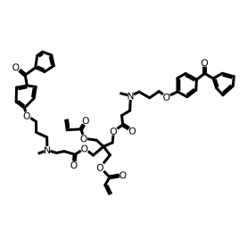 C=CC(=O)OCC(COC(=O)C=C)(COC(=O)CCN(C)CCCOc1ccc(C(=O)c2ccccc2)cc1)COC(=O)CCN(C)CCCOc1ccc(C(=O)c2ccccc2)cc1